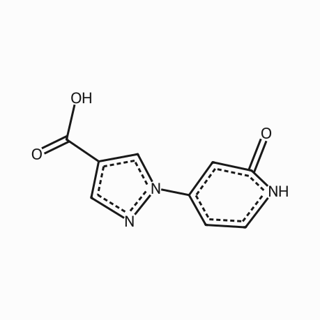 O=C(O)c1cnn(-c2cc[nH]c(=O)c2)c1